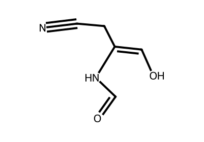 N#CCC(=CO)NC=O